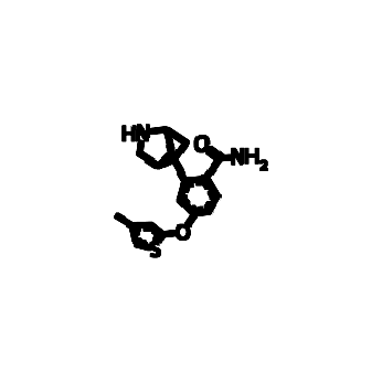 Cc1csc(Oc2ccc(C(N)=O)c(C3CC4CC3CN4)c2)c1